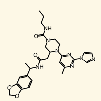 CCCNC(=O)N1CCN(c2cc(C)nc(-n3ccnc3)n2)C(CC(=O)NC(C)c2ccc3c(c2)OCO3)C1